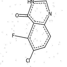 O=c1[nH]cnc2ccc(Cl)c(F)c12